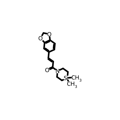 C[Si]1(C)CCN(C(=O)/C=C/c2ccc3c(c2)OCO3)CC1